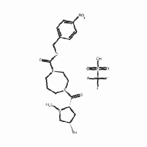 CN1C[C@@H](S)C[C@H]1C(=O)N1CCCN(C(=O)OCc2ccc([N+](=O)[O-])cc2)CC1.O=S(=O)(O)C(F)(F)F